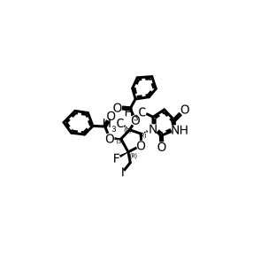 Cc1cc(=O)[nH]c(=O)n1[C@@H]1O[C@](F)(CI)[C@@H](OC(=O)c2ccccc2)[C@@]1(C)OC(=O)c1ccccc1